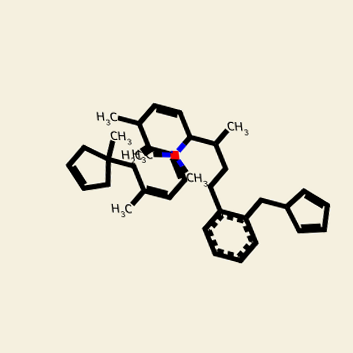 C=C(/C=C\C=C(\C)CC1(C)CC=CC1)C(C)/C=C\C(C(C)CCc1ccccc1CC1C=CC=C1)N(C)C